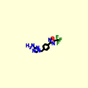 Nc1ncn(Cc2ccc(-c3noc(C(F)(F)F)n3)cc2)n1